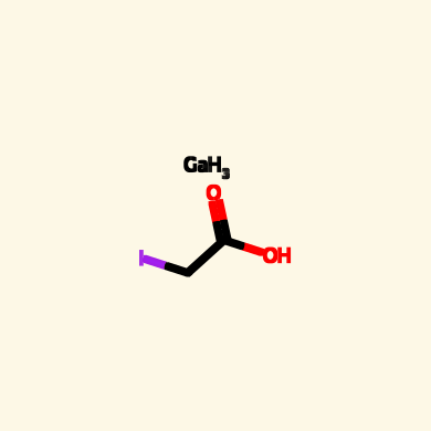 O=C(O)CI.[GaH3]